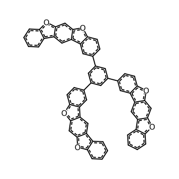 c1ccc2c(c1)oc1cc3oc4ccc(-c5cc(-c6ccc7oc8cc9oc%10ccccc%10c9cc8c7c6)cc(-c6ccc7oc8cc9oc%10ccccc%10c9cc8c7c6)c5)cc4c3cc12